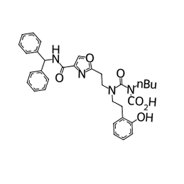 CCCCN(C(=O)O)C(=O)N(CCc1nc(C(=O)NC(c2ccccc2)c2ccccc2)co1)CCc1ccccc1O